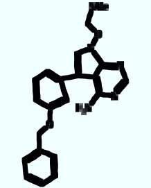 CNCOn1cc(-c2cccc(OCc3ccccc3)c2)c2c(N)ncnc21